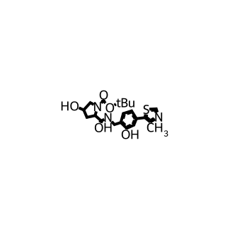 Cc1ncsc1-c1ccc(CNC(=O)C2CC(O)CN2C(=O)OC(C)(C)C)c(O)c1